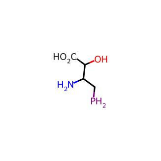 NC(CP)C(O)C(=O)O